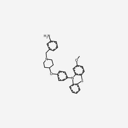 COc1ccc2c(c1)N(c1ccc(OC3CCN(Cc4cccc(N)c4)CC3)cc1)c1ccccc1S2